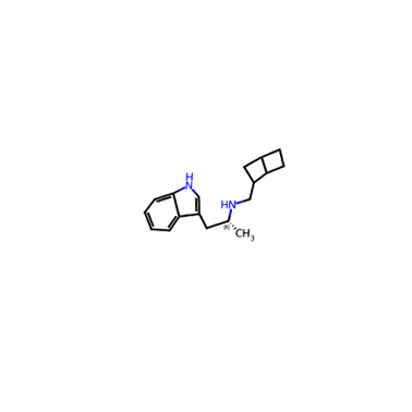 C[C@H](Cc1c[nH]c2ccccc12)NCC1CC2CCC21